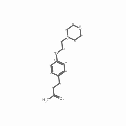 CC(=O)CCc1ccc(OCCN2CCOCC2)cc1